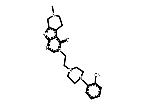 CN1CCc2c(sc3ncn(CCN4CCN(c5ccccc5C#N)CC4)c(=O)c23)C1